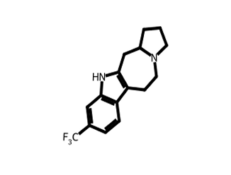 FC(F)(F)c1ccc2c3c([nH]c2c1)CC1CCCN1CC3